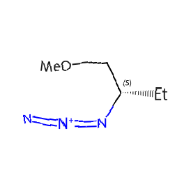 CC[C@@H](COC)N=[N+]=[N-]